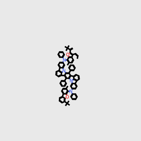 C=C(c1oc2c(N(c3ccccc3)c3ccc4c5cccc6c7c(-c8ccccc8)c8c(c(-c9ccccc9)c7n(c4c3)c56)c3cccc4c5ccc(N(c6ccccc6)c6c(C)ccc7c6oc6c(C(C)(C)C)cccc67)cc5n8c43)c(C)ccc2c1/C=C\C)C(C)(C)C